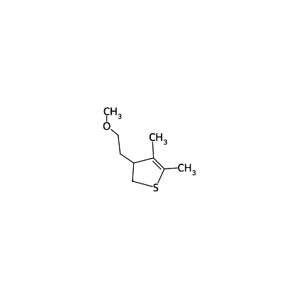 COCCC1CSC(C)=C1C